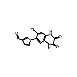 O=Cc1ccn(-c2cc3[nH]c(=O)c(=O)[nH]c3cc2Cl)c1